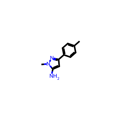 Cc1ccc(-c2cc(N)n(C)n2)cc1